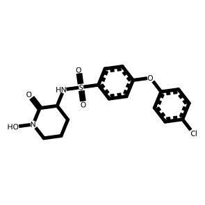 O=C1C(NS(=O)(=O)c2ccc(Oc3ccc(Cl)cc3)cc2)CCCN1O